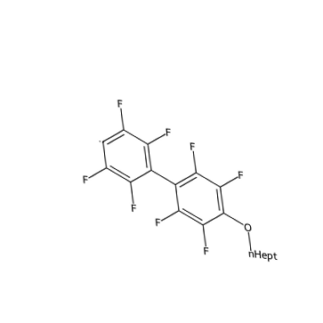 CCCCCCCOc1c(F)c(F)c(-c2c(F)c(F)[c]c(F)c2F)c(F)c1F